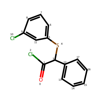 O=C(Cl)C(Sc1cccc(Cl)c1)c1ccccc1